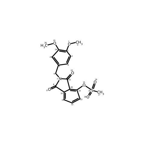 COc1ccc(CN2C(=O)c3cccc(OS(C)(=O)=O)c3C2=O)cc1OC